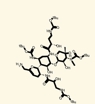 CN(C(=O)OC(C)(C)C)[C@@H]1[C@@H](O)[C@@H](O[C@H]2[C@H](NC(=O)[C@@H](O)CCNC(=O)OC(C)(C)C)C[C@H](NC(=O)OC(C)(C)C)C([C@H]3OC(CN)=CC[C@H]3NC(=O)C(O)CNC(=O)OC(C)(C)C)[C@@H]2O)OC[C@]1(C)O